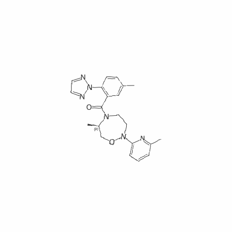 Cc1ccc(-n2nccn2)c(C(=O)N2CCN(c3cccc(C)n3)OC[C@H]2C)c1